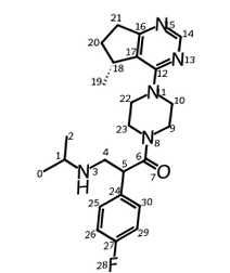 CC(C)NCC(C(=O)N1CCN(c2ncnc3c2[C@H](C)CC3)CC1)c1ccc(F)cc1